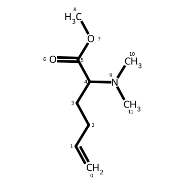 C=CCCC(C(=O)OC)N(C)C